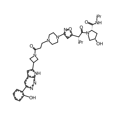 CC(C)NC(=O)[C@@H]1C[C@@H](O)CN1C(=O)[C@@H](c1cc(N2CCN(CCC(=O)N3CC(c4cc5cc(-c6ccccc6O)nnc5[nH]4)C3)CC2)no1)C(C)C